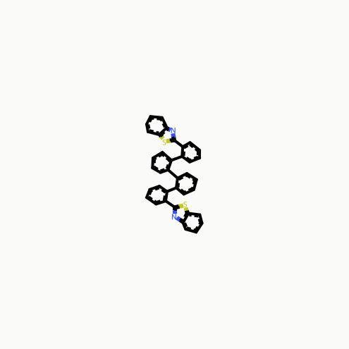 c1ccc(-c2ccccc2-c2ccccc2-c2ccccc2-c2nc3ccccc3s2)c(-c2nc3ccccc3s2)c1